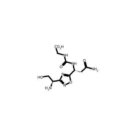 NC(=O)C[C@@H](NC(=O)NCC(=O)O)c1nc([C@@H](N)CO)no1